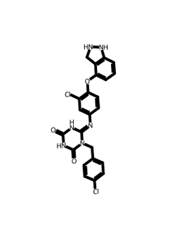 O=c1[nH]c(=O)n(Cc2ccc(Cl)cc2)/c(=N/c2ccc(Oc3cccc4c3CNN4)c(Cl)c2)[nH]1